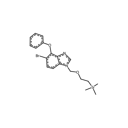 C[Si](C)(C)CCOCn1cnc2c(Oc3ccccc3)c(Br)ccc21